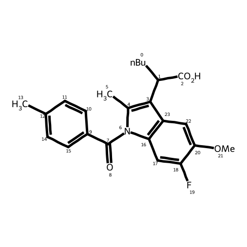 CCCCC(C(=O)O)c1c(C)n(C(=O)c2ccc(C)cc2)c2cc(F)c(OC)cc12